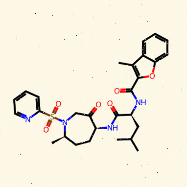 Cc1c(C(=O)N[C@@H](CC(C)C)C(=O)N[C@H]2CC[C@@H](C)N(S(=O)(=O)c3ccccn3)CC2=O)oc2ccccc12